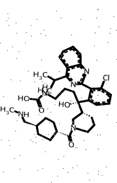 CNC[C@H]1CC[C@H](C(=O)N2CCC[C@@H]([C@@](O)(CCCNC(=O)O)c3cccc(Cl)c3-c3nc(C(C)C)c4ccccc4n3)C2)CC1